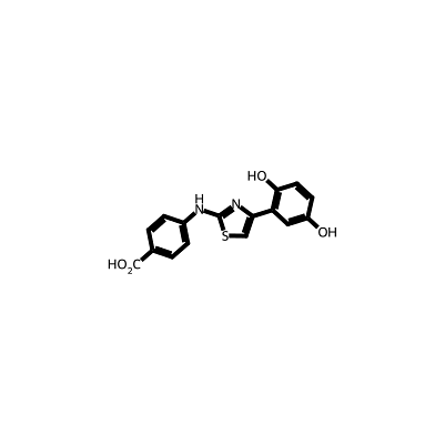 O=C(O)c1ccc(Nc2nc(-c3cc(O)ccc3O)cs2)cc1